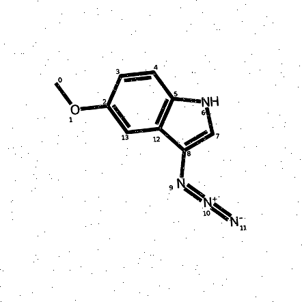 COc1ccc2[nH]cc(N=[N+]=[N-])c2c1